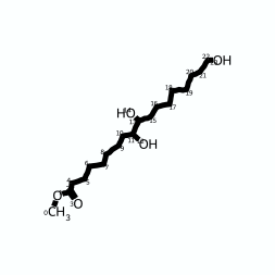 COC(=O)CCCCCCCC(O)C(O)CCCCCCCCO